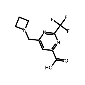 O=C(O)c1cc(CN2CCC2)nc(C(F)(F)F)n1